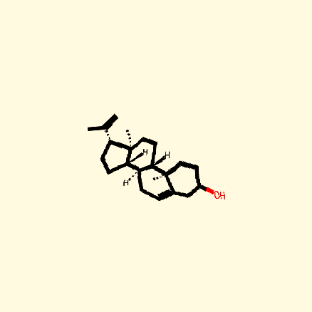 C=C(C)[C@H]1CC[C@H]2[C@@H]3CC=C4CC(O)CC[C@]4(C)[C@H]3CC[C@]12C